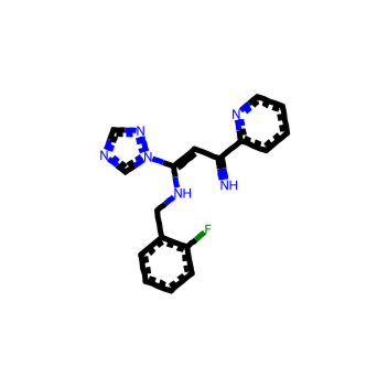 N=C(/C=C(\NCc1ccccc1F)n1cncn1)c1ccccn1